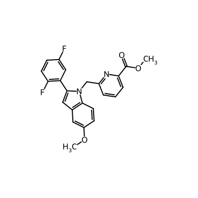 COC(=O)c1cccc(Cn2c(-c3cc(F)ccc3F)cc3cc(OC)ccc32)n1